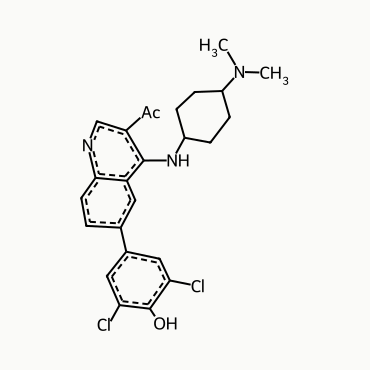 CC(=O)c1cnc2ccc(-c3cc(Cl)c(O)c(Cl)c3)cc2c1NC1CCC(N(C)C)CC1